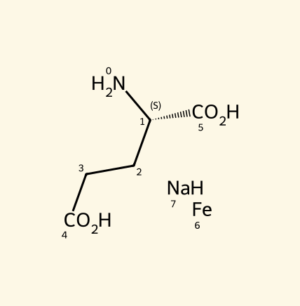 N[C@@H](CCC(=O)O)C(=O)O.[Fe].[NaH]